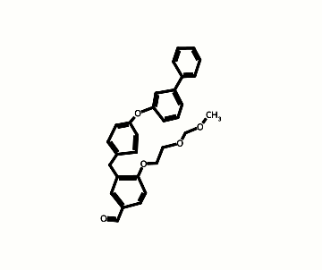 COCOCCOc1ccc(C=O)cc1Cc1ccc(Oc2cccc(-c3ccccc3)c2)cc1